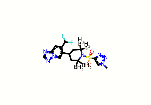 BC1(B)CC(c2cn3ncnc3cc2C(F)F)CC(B)(B)N1S(=O)(=O)c1cn(C)nn1